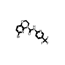 O=C(Nc1ccc(C(F)(F)F)cn1)N1CCOc2ccc(Br)nc21